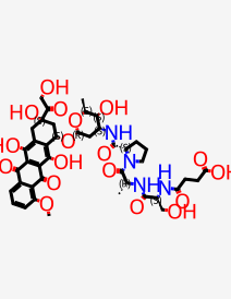 COc1cccc2c1C(=O)c1c(O)c3c(c(O)c1C2=O)C[C@@](O)(C(=O)CO)C[C@@H]3O[C@H]1C[C@H](NC(=O)[C@@H]2CCCN2C(=O)[C@@H](C)NC(=O)[C@H](CO)NC(=O)CCC(=O)O)[C@H](O)[C@H](C)O1